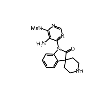 CNc1ncnc(N2C(=O)C3(CCNCC3)c3ccccc32)c1N